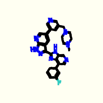 CN1CCN(Cc2cncc(-c3cnc4[nH]nc(-c5nc6c(-c7cccc(F)c7)cncc6[nH]5)c4c3)c2)CC1